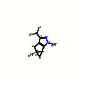 CC(C)n1nc(C(F)F)c2c1C1C[C@H]1C2